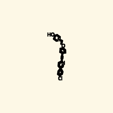 OC1CCN(CCOc2ccc(C#Cc3ccc(-c4ccc(Cl)cc4)cn3)cc2)CC1